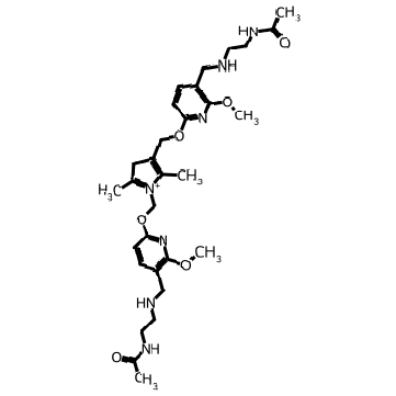 COc1nc(OCC2=C(C)[N+](COc3ccc(CNCCNC(C)=O)c(OC)n3)=C(C)C2)ccc1CNCCNC(C)=O